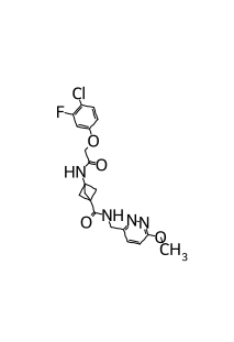 COc1ccc(CNC(=O)C23CC(NC(=O)COc4ccc(Cl)c(F)c4)(C2)C3)nn1